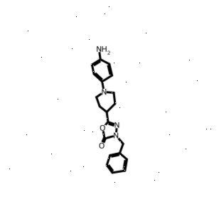 Nc1ccc(N2CCC(c3nn(Cc4ccccc4)c(=O)o3)CC2)cc1